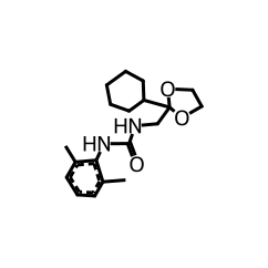 Cc1cccc(C)c1NC(=O)NCC1(C2CCCCC2)OCCO1